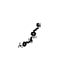 FC(F)Oc1ccc(C=Cc2nc(CNc3ccc(CCCCn4ccnn4)cc3)co2)cc1